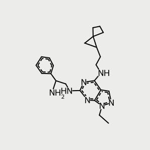 CCn1ncc2c(NCCC3CC34CCC4)nc(NCC(N)c3ccccc3)nc21